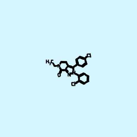 CCn1ccc2c(-c3ccc(Cl)cc3)n(-c3ccccc3Cl)nc2c1=O